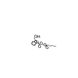 CCCCCC(=O)OCOC(=O)n1cc(CO)c2ccccc21